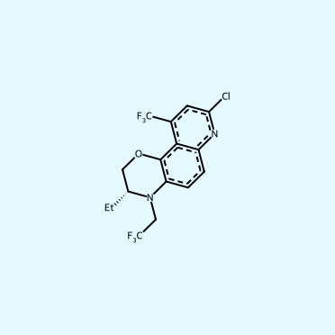 CC[C@@H]1COc2c(ccc3nc(Cl)cc(C(F)(F)F)c23)N1CC(F)(F)F